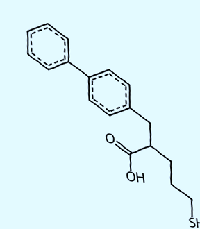 O=C(O)C(CCCS)Cc1ccc(-c2ccccc2)cc1